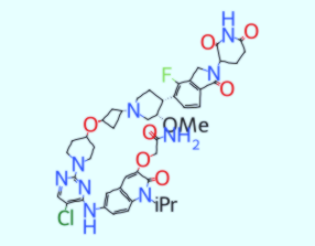 CO[C@@H]1CN([C@H]2C[C@H](OC3CCN(c4ncc(Cl)c(Nc5ccc6c(c5)cc(OCC(N)=O)c(=O)n6C(C)C)n4)CC3)C2)CC[C@@H]1c1ccc2c(c1F)CN(C1CCC(=O)NC1=O)C2=O